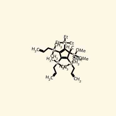 C=CC[Si](C)(C)C1=C([Si](C)(C)CC=C)C(C)([Si](OC)(OC)OC)[C]([Pt]([CH2]C)([CH2]C)[CH2]C)=C1[Si](C)(C)CC=C